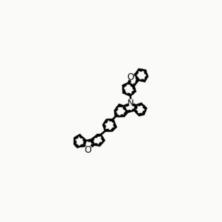 c1ccc2c(c1)oc1ccc(-c3ccc(-c4ccc5c(c4)c4ccccc4n5-c4ccc5oc6ccccc6c5c4)cc3)cc12